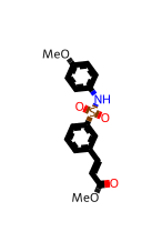 COC(=O)/C=C/c1cccc(S(=O)(=O)Nc2ccc(OC)cc2)c1